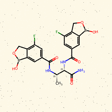 C[C@H](NC(=O)c1cc(F)c2c(c1)B(O)OC2)[C@H](NC(=O)c1cc(F)c2c(c1)B(O)OC2)C(N)=O